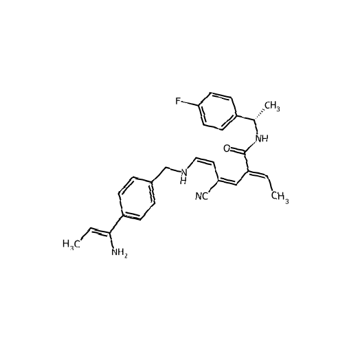 C/C=C(\N)c1ccc(CN\C=C/C(C#N)=C\C(=C/C)C(=O)N[C@@H](C)c2ccc(F)cc2)cc1